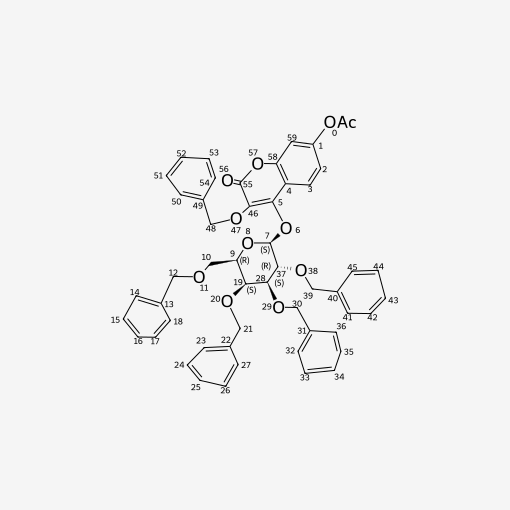 CC(=O)Oc1ccc2c(O[C@@H]3O[C@H](COCc4ccccc4)[C@H](OCc4ccccc4)[C@H](OCc4ccccc4)[C@H]3OCc3ccccc3)c(OCc3ccccc3)c(=O)oc2c1